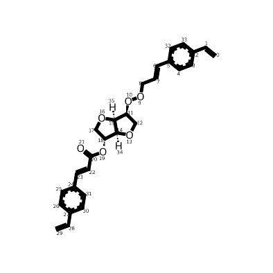 C=Cc1ccc(/C=C/COO[C@H]2CO[C@@H]3[C@H]2OC[C@H]3OC(=O)/C=C/c2ccc(C=C)cc2)cc1